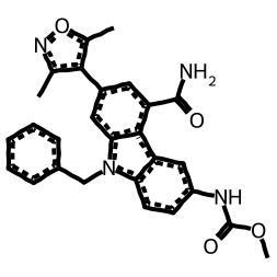 COC(=O)Nc1ccc2c(c1)c1c(C(N)=O)cc(-c3c(C)noc3C)cc1n2Cc1ccccc1